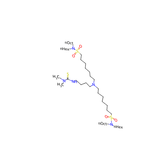 CCCCCCCCN(CCCCCC)S(=O)(=O)CCCCCCCN(CCCCCCCS(=O)(=O)N(CCCCCC)CCCCCCCC)CCCCNC(=S)N(C)C